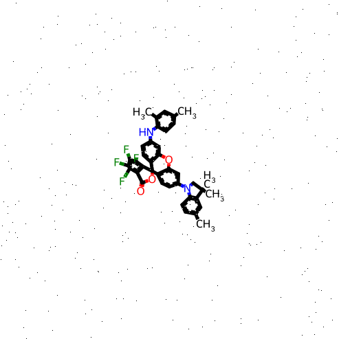 Cc1ccc(Nc2ccc3c(c2)Oc2cc(N4CC(C)(C)c5cc(C)ccc54)ccc2C32OC(=O)c3c(F)c(F)c(F)c(F)c32)c(C)c1